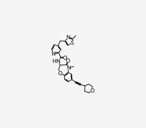 Cc1nc(Cc2ccnc(C(=O)NC3COc4ccc(C#CC5CCOCC5)cc4N(C)C3=O)c2)cs1